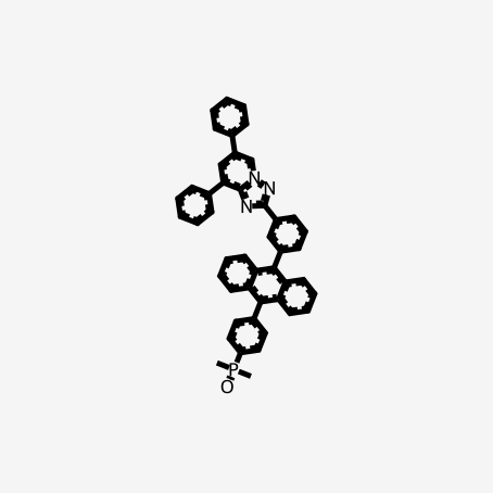 CP(C)(=O)c1ccc(-c2c3ccccc3c(-c3cccc(-c4nc5c(-c6ccccc6)cc(-c6ccccc6)cn5n4)c3)c3ccccc23)cc1